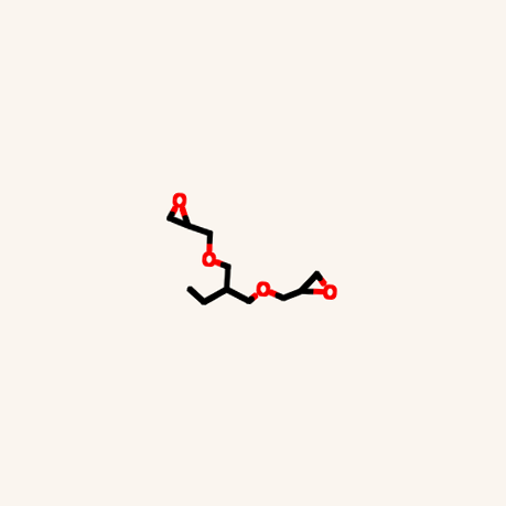 CCC(COCC1CO1)COCC1CO1